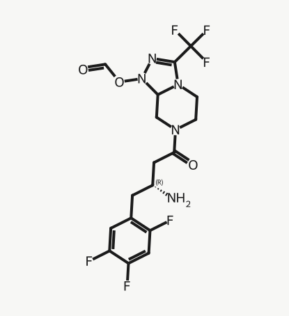 N[C@@H](CC(=O)N1CCN2C(C(F)(F)F)=NN(OC=O)C2C1)Cc1cc(F)c(F)cc1F